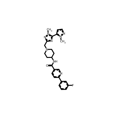 Cn1nccc1-c1nc(CN2CCC(NC(=O)c3ccc(-c4cccc(F)c4)nc3)CC2)nn1C